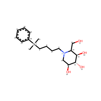 C[Si](C)(CCCCN1C[C@H](O)[C@@H](O)[C@H](O)C1CO)c1ccccc1